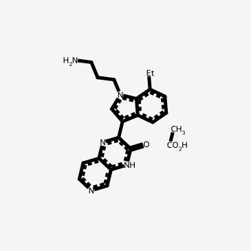 CC(=O)O.CCc1cccc2c(-c3nc4ccncc4[nH]c3=O)cn(CCCN)c12